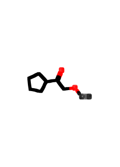 O=COCC(=O)C1CCCC1